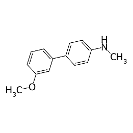 CNc1ccc(-c2cccc(OC)c2)cc1